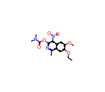 CCOc1cc2c(C)nc(OC(=O)N(C)C)c([N+](=O)[O-])c2cc1OC